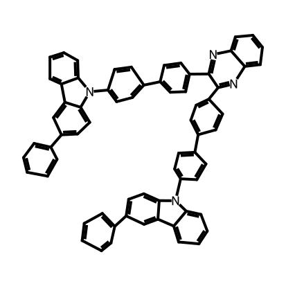 c1ccc(-c2ccc3c(c2)c2ccccc2n3-c2ccc(-c3ccc(-c4nc5ccccc5nc4-c4ccc(-c5ccc(-n6c7ccccc7c7cc(-c8ccccc8)ccc76)cc5)cc4)cc3)cc2)cc1